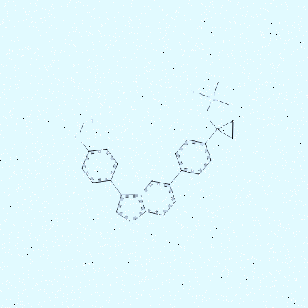 CC(C)Oc1ccc(-c2cnc3ccc(-c4ccc(C5(O[Si](C)(C)C(C)(C)C)CC5)cc4)cn23)cc1